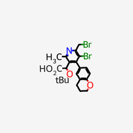 Cc1nc(CBr)c(Br)c(-c2ccc3c(c2)CCCO3)c1C(OC(C)(C)C)C(=O)O